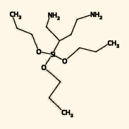 CCCO[Si](OCCC)(OCCC)C(CN)CCN